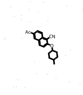 CC(=O)c1ccc2c(C#N)c(OC3CCC(C)CC3)ccc2c1